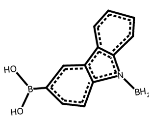 Bn1c2ccccc2c2cc(B(O)O)ccc21